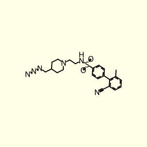 Cc1cccc(C#N)c1-c1ccc(S(=O)(=O)NCCN2CCC(CN=[N+]=[N-])CC2)cc1